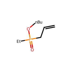 C=CCP(=O)(CC)OCCCC